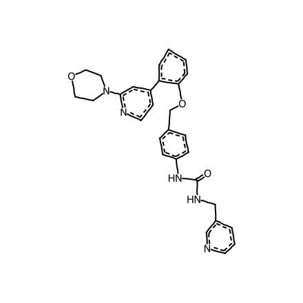 O=C(NCc1cccnc1)Nc1ccc(COc2ccccc2-c2ccnc(N3CCOCC3)c2)cc1